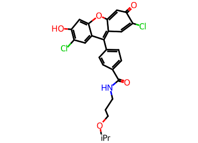 CC(C)OCCCNC(=O)c1ccc(-c2c3cc(Cl)c(=O)cc-3oc3cc(O)c(Cl)cc23)cc1